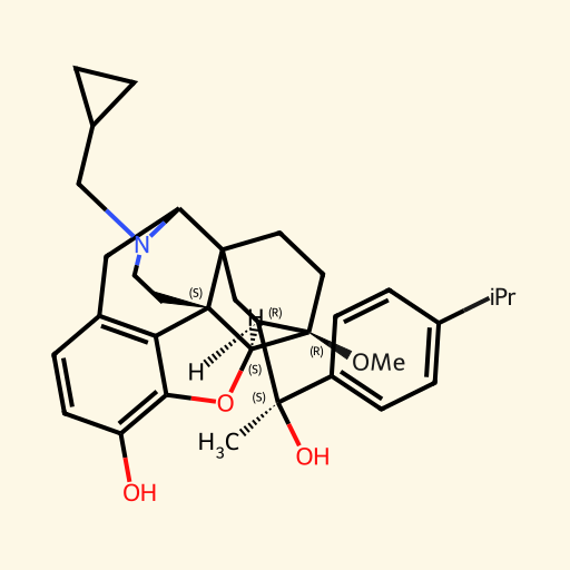 CO[C@]12CCC3(C[C@@H]1[C@](C)(O)c1ccc(C(C)C)cc1)C1Cc4ccc(O)c5c4[C@@]3(CCN1CC1CC1)[C@@H]2O5